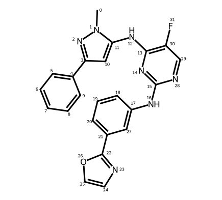 Cn1nc(-c2ccccc2)cc1Nc1nc(Nc2cccc(-c3ncco3)c2)ncc1F